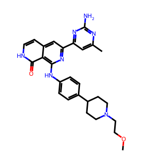 COCCN1CCC(c2ccc(Nc3nc(-c4cc(C)nc(N)n4)cc4cc[nH]c(=O)c34)cc2)CC1